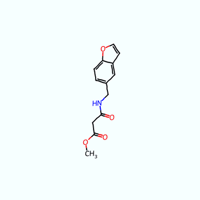 COC(=O)CC(=O)NCc1ccc2occc2c1